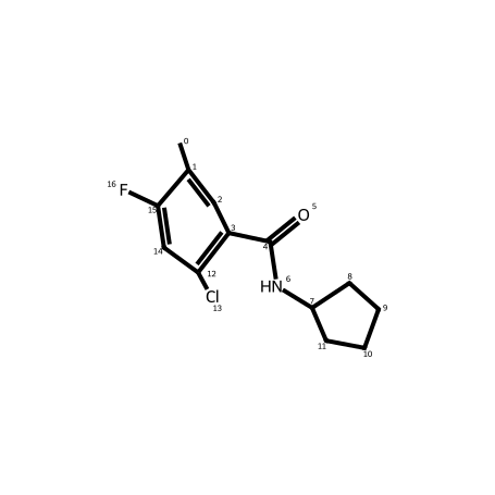 Cc1cc(C(=O)NC2CCCC2)c(Cl)cc1F